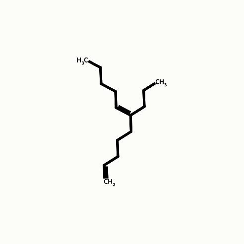 C=CCCCC(=CCCCC)CCC